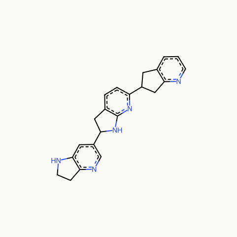 c1cnc2c(c1)CC(c1ccc3c(n1)NC(c1cnc4c(c1)NCC4)C3)C2